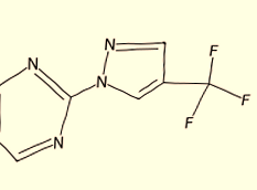 FC(F)(F)c1cnn(-c2ncccn2)c1